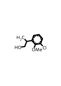 [CH2]C(CO)c1cccc(Cl)c1OC